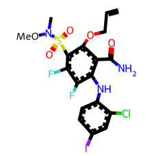 C=CCOc1c(C(N)=O)c(Nc2ccc(I)cc2Cl)c(F)c(F)c1S(=O)(=O)N(C)OC